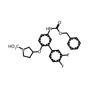 O=C(Nc1ccc(OC2CCN(C(=O)O)C2)c(-c2ccc(F)c(F)c2)c1)OCc1ccccc1